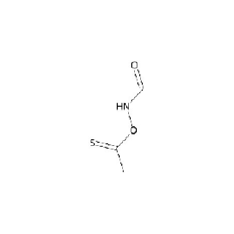 CC(=S)ONC=O